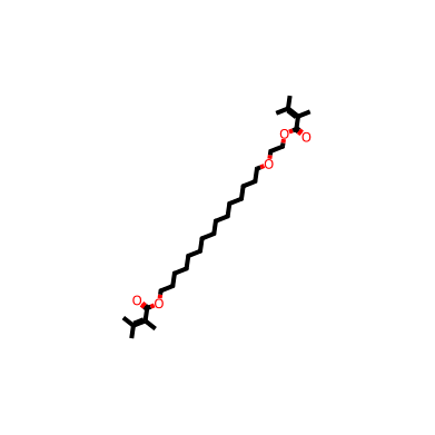 CC(C)=C(C)C(=O)OCCCCCCCCCCCCCCCOCCOC(=O)C(C)=C(C)C